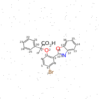 CC(Oc1ccc(Br)cc1-c1nc2ccccc2o1)(C(=O)O)c1ccccc1